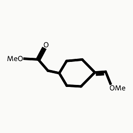 COC=C1CCC(CC(=O)OC)CC1